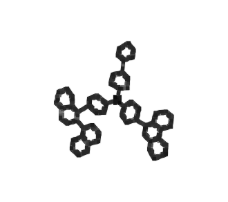 c1ccc(-c2ccc(N(c3ccc(-c4c(-c5cccc6ccccc56)ccc5ccccc45)cc3)c3ccc(-c4cc5ccccc5c5ccccc45)cc3)cc2)cc1